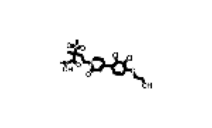 CC(CCn1ccc(-c2ccc(OCCO)c(Cl)c2Cl)cc1=O)(C(=O)NO)S(C)(=O)=O